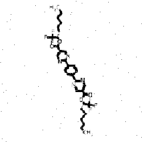 CCCCCC[C@H](OC(=O)c1cnc(-c2ccc(-c3ncc(C(=O)O[C@@H](CCCCCC)C(F)(F)F)cn3)cc2)nc1)C(F)(F)F